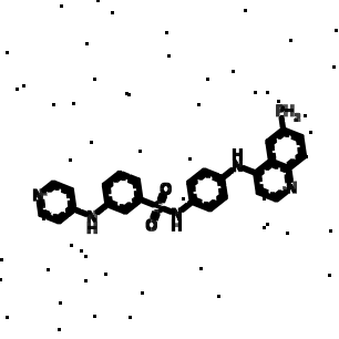 O=S(=O)(Nc1ccc(Nc2ccnc3ccc(P)cc23)cc1)c1cccc(Nc2ccncc2)c1